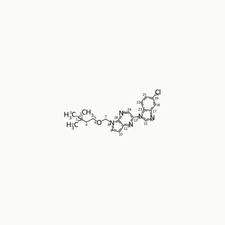 C[Si](C)(C)CCOCn1ccc2nc(-n3cnc4cc(Cl)ccc43)cnc21